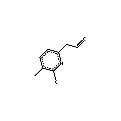 Cc1ccc(CC=O)nc1Cl